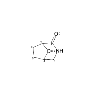 O=C1NCC2CCC1O2